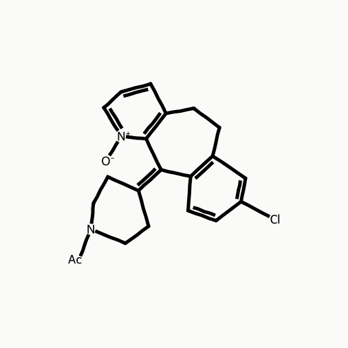 CC(=O)N1CCC(=C2c3ccc(Cl)cc3CCc3ccc[n+]([O-])c32)CC1